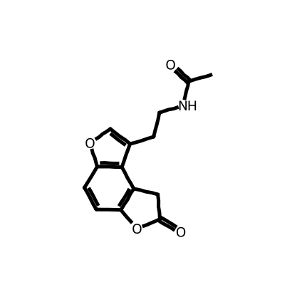 CC(=O)NCCc1coc2ccc3c(c12)CC(=O)O3